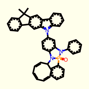 CC1(C)c2ccccc2-c2cc3c(cc21)c1ccccc1n3-c1ccc2c(c1)N(c1ccccc1)P(=O)(c1ccccc1)N2C1C=C/C=C\C=C/C1